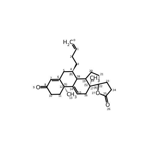 C=CCC[C@@H]1CC2=CC(=O)CC[C@]2(C)C2=CC[C@@]3(C)C(CC[C@@]34CCC(=O)O4)C21